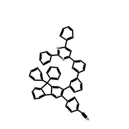 N#Cc1ccc(-c2cc3c(cc2-c2cccc(-c4cccc(-c5cc(-c6ccccc6)nc(-c6ccccc6)n5)c4)c2)C(c2ccccc2)(c2ccccc2)c2ccccc2-3)cc1